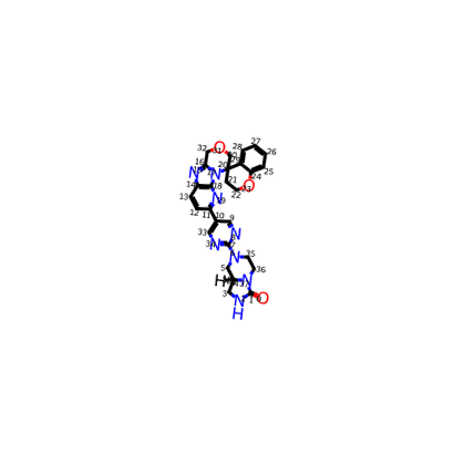 O=C1NC[C@@H]2CN(c3ncc(-c4ccc5nc6n(c5n4)C4(CCOc5ccccc54)COC6)cn3)CCN12